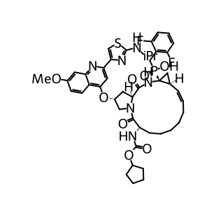 COc1ccc2c(O[C@@H]3C[C@H]4C(=O)N[C@]5(P(=O)(O)Cc6c(F)cccc6F)C[C@H]5/C=C\CCCCC[C@H](NC(=O)OC5CCCC5)C(=O)N4C3)cc(-c3csc(NC(C)C)n3)nc2c1